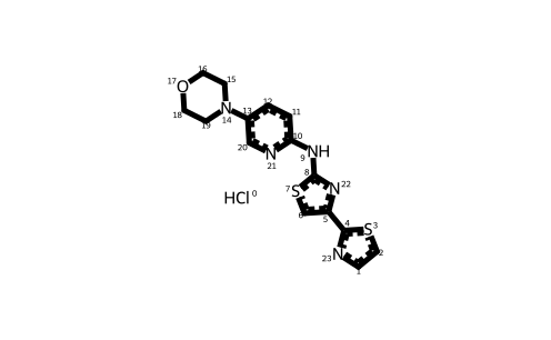 Cl.c1csc(-c2csc(Nc3ccc(N4CCOCC4)cn3)n2)n1